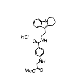 COC(=O)CNc1ccc(C(=O)NCCc2c3n(c4ccccc24)CCCC3)cc1.Cl